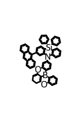 C1=C2Oc3cc(N4c5ccccc5[Si](c5ccccc5)(c5ccccc5)c5ccc(-c6c7ccccc7cc7ccccc67)cc54)ccc3B3C2=C(CC1)Oc1ccccc13